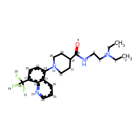 CCN(CC)CCNC(=O)C1CCN(c2ccc(C(F)(F)F)c3ncccc23)CC1